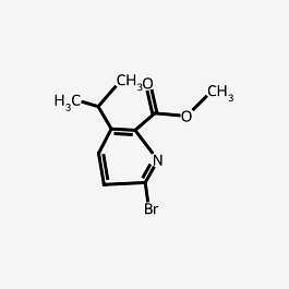 COC(=O)c1nc(Br)ccc1C(C)C